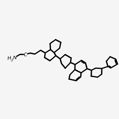 NCCCCCC1CCC(C2CCC(C3C=CC(C4CCCC(C5=CC=CCC5)C4)C4C=CCCC34)CC2)C2CCCCC12